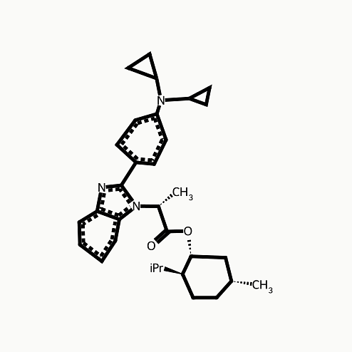 CC(C)[C@@H]1CC[C@@H](C)C[C@H]1OC(=O)[C@@H](C)n1c(-c2ccc(N(C3CC3)C3CC3)cc2)nc2ccccc21